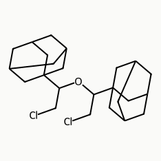 ClCC(OC(CCl)C12CC3CC(CC(C3)C1)C2)C12CC3CC(CC(C3)C1)C2